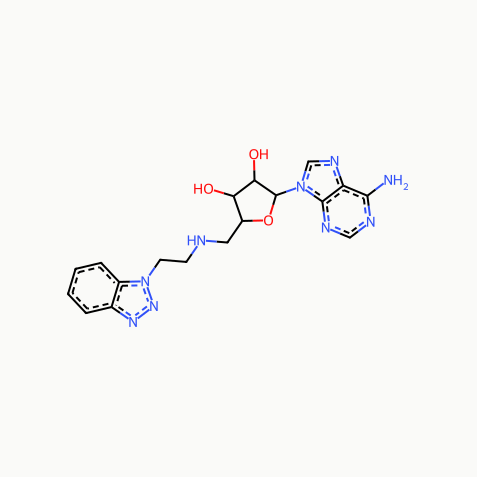 Nc1ncnc2c1ncn2C1OC(CNCCn2nnc3ccccc32)C(O)C1O